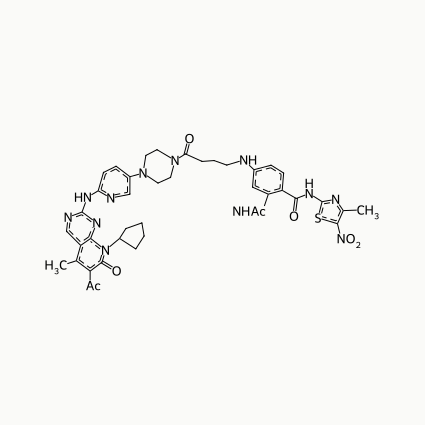 CC(=O)Nc1cc(NCCCC(=O)N2CCN(c3ccc(Nc4ncc5c(C)c(C(C)=O)c(=O)n(C6CCCC6)c5n4)nc3)CC2)ccc1C(=O)Nc1nc(C)c([N+](=O)[O-])s1